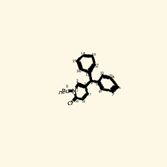 CCCCn1cc(C(c2ccccc2)c2ccccc2)ccc1=O